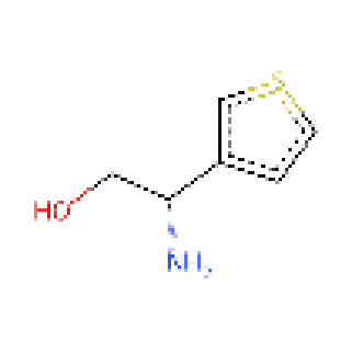 N[C@H](CO)c1ccsc1